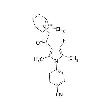 Cc1c(F)c(C(=O)CN2C3CCC2[C@H](C)C3)c(C)n1-c1ccc(C#N)cc1